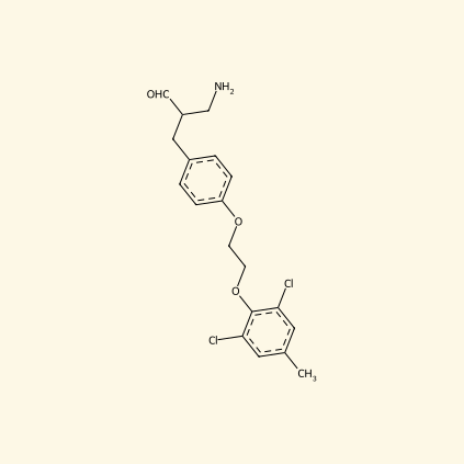 Cc1cc(Cl)c(OCCOc2ccc(CC(C=O)CN)cc2)c(Cl)c1